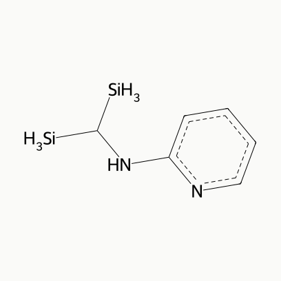 [SiH3]C([SiH3])Nc1ccccn1